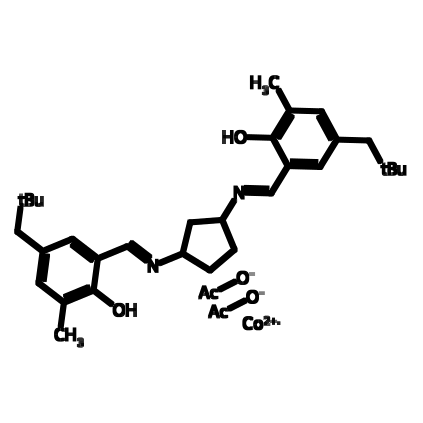 CC(=O)[O-].CC(=O)[O-].Cc1cc(CC(C)(C)C)cc(C=NC2CCC(N=Cc3cc(CC(C)(C)C)cc(C)c3O)C2)c1O.[Co+2]